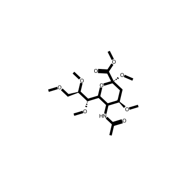 COC[C@@H](OC)[C@@H](OC)C1O[C@@](OC)(C(=O)OC)C[C@@H](OC)C1NC(C)=O